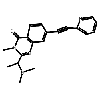 CC(c1nc2cc(C#Cc3ccccn3)ccc2c(=O)n1C)N(C)C